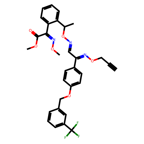 C#CCON=C(C=NOC(C)c1ccccc1C(=NOC)C(=O)OC)c1ccc(OCc2cccc(C(F)(F)F)c2)cc1